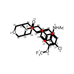 CC(=O)Nc1cc(Cl)c(OC(F)(F)F)cc1C=CC(=O)N1C2COCC1CN(Cc1ccc(F)cc1)C2